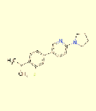 CC(C)c1ccc(-c2ccc(N3CCCC3)nc2)cc1F